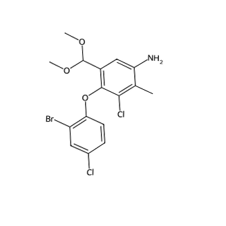 COC(OC)c1cc(N)c(C)c(Cl)c1Oc1ccc(Cl)cc1Br